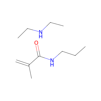 C=C(C)C(=O)NCCC.CCNCC